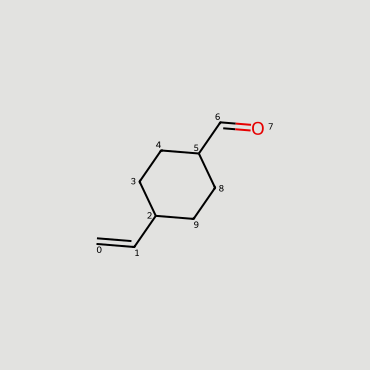 C=CC1CCC(C=O)CC1